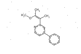 CO/C(C)=C(/C)c1cc(-c2ccccc2)ccn1